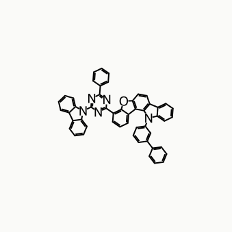 c1ccc(-c2cccc(-n3c4ccccc4c4ccc5oc6c(-c7nc(-c8ccccc8)nc(-n8c9ccccc9c9ccccc98)n7)cccc6c5c43)c2)cc1